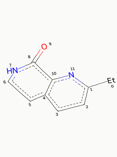 CCc1ccc2cc[nH]c(=O)c2n1